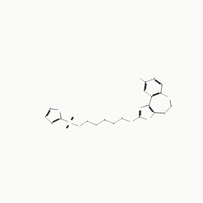 O=S(=O)(NCCCCCNc1nc2c(s1)CCSc1ccc(F)cc1-2)c1cccs1